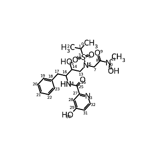 CC(C)S(=O)(=O)N(CC(=O)N(C)O)CC(O)C(Cc1ccccc1)NC(=O)c1cc(O)ccn1